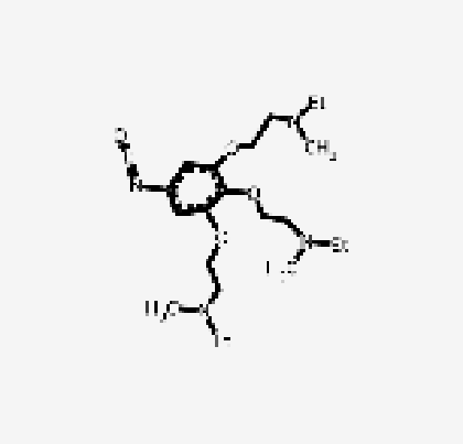 CCN(C)CCOc1cc(N=C=O)cc(OCCN(C)CC)c1OCCN(C)CC